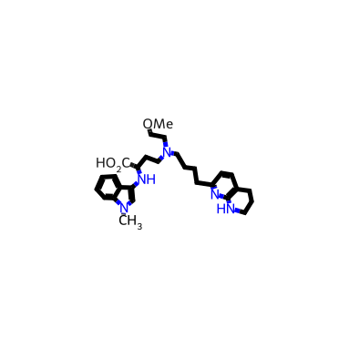 COCCN(CCCCc1ccc2c(n1)NCCC2)CCC(Nc1cn(C)c2ccccc12)C(=O)O